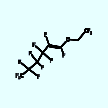 FC(OCC(F)(F)F)=C(F)C(F)(F)C(F)(F)C(F)(F)C(F)(F)F